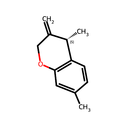 C=C1COc2cc(C)ccc2[C@H]1C